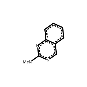 CNc1ncc2ccccc2n1